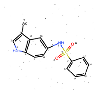 CC(=O)c1c[nH]c2ccc(NS(=O)(=O)c3ccccc3)cc12